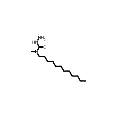 CCCCCCCCCCCCN(C)C(=O)NN